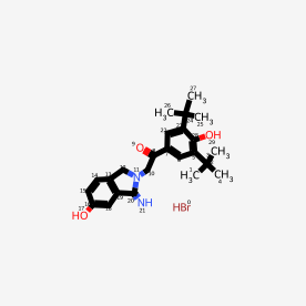 Br.CC(C)(C)c1cc(C(=O)CN2Cc3ccc(O)cc3C2=N)cc(C(C)(C)C)c1O